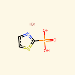 Br.O=P(O)(O)c1nccs1